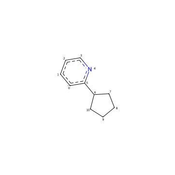 [c]1cccnc1C1CCCC1